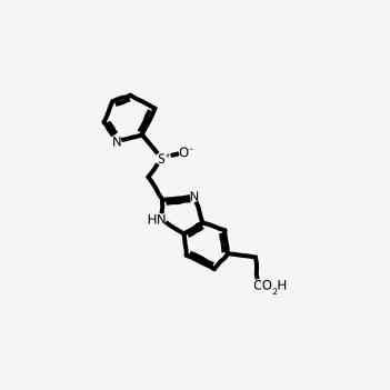 O=C(O)Cc1ccc2[nH]c(C[S+]([O-])c3ccccn3)nc2c1